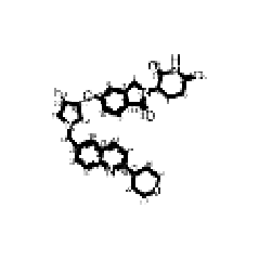 O=C1CCC(N2Cc3cc(O[C@@H]4CN(Cc5ccc6nc(C7CCOCC7)ccc6c5)C[C@H]4F)ccc3C2=O)C(=O)N1